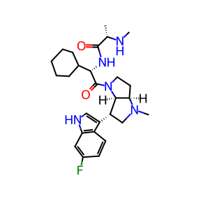 CN[C@@H](C)C(=O)N[C@H](C(=O)N1CC[C@@H]2[C@H]1[C@@H](c1c[nH]c3cc(F)ccc13)CN2C)C1CCCCC1